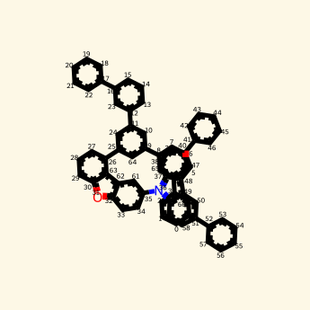 c1ccc(-c2cccc(-c3cc(-c4cccc(-c5ccccc5)c4)cc(-c4cccc5oc6ccc(-n7c8ccc(-c9ccccc9)cc8c8cc(-c9ccccc9)ccc87)cc6c45)c3)c2)cc1